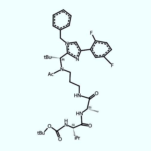 CC(=O)N(CCCNC(=O)[C@H](C)NC(=O)[C@@H](NC(=O)OC(C)(C)C)C(C)C)[C@@H](c1nc(-c2cc(F)ccc2F)cn1Cc1ccccc1)C(C)(C)C